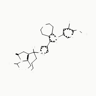 CCCCC(C)(C1=C(CC)N(C(C)C)C(=O)C1)n1cc(-c2nn(-c3cnc(OC)c(F)c3)c3c2CCOCC3)cn1